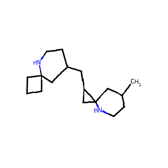 CC1CCNC2(C1)CC2CC1CCNC2(CCC2)C1